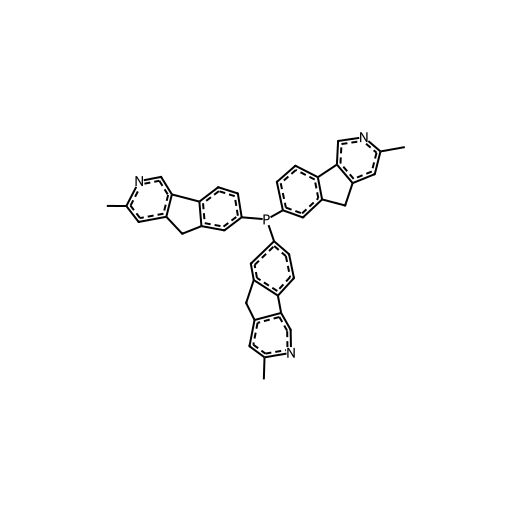 Cc1cc2c(cn1)-c1ccc(P(c3ccc4c(c3)Cc3cc(C)ncc3-4)c3ccc4c(c3)Cc3cc(C)ncc3-4)cc1C2